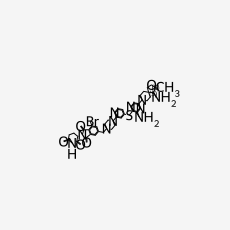 C[C@@H]1OCC2(CCN(c3cnc(Sc4ccnc(N5CCN(Cc6cc(Br)c7c(c6)C(=O)N(C6CCC(=O)NC6=O)C7=O)CC5)c4)c(N)n3)CC2)[C@@H]1N